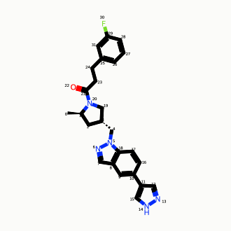 C[C@@H]1C[C@@H](Cn2ncc3cc(-c4cn[nH]c4)ccc32)CN1C(=O)CCc1cccc(F)c1